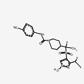 Cn1cc(S(=O)(=O)C(C)(F)C2CCN(C(=O)Nc3ccc(C#N)cc3)CC2)c(C(F)F)n1